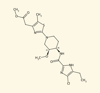 CCc1[nH]c(C(=O)N[C@@H]2CCN(c3nc(CC(=O)OC)c(C)s3)C[C@@H]2OC)nc1Cl